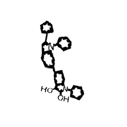 Oc1c(O)n(-c2ccccc2)c2ccc(-c3ccc4cc(-c5ccccc5)n(-c5ccccc5)c4c3)cc12